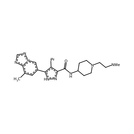 CNCCN1CCC(NC(=O)c2n[nH]c(-c3cc(C)c4ncnn4c3)c2C(C)C)CC1